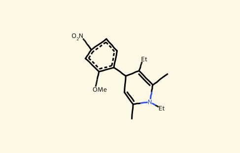 CCC1=C(C)N(CC)C(C)=CC1c1ccc([N+](=O)[O-])cc1OC